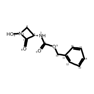 O=C(N[C@H]1CN(O)C1=O)OCc1ccccc1